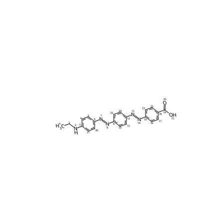 CCNc1ccc(N=Nc2ccc(N=Nc3ccc(C(=O)O)cc3)cc2)cc1